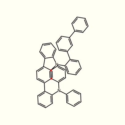 c1ccc(-c2cccc(-c3ccccc3-n3c4ccccc4c4ccc(-c5ccccc5N(c5ccccc5)c5ccccc5)cc43)c2)cc1